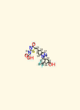 CN(CC(=O)O)C1=NC(=O)/C(=C/c2ccc3c(cnn3Cc3ccc(O)cc3C(F)(F)F)c2)S1